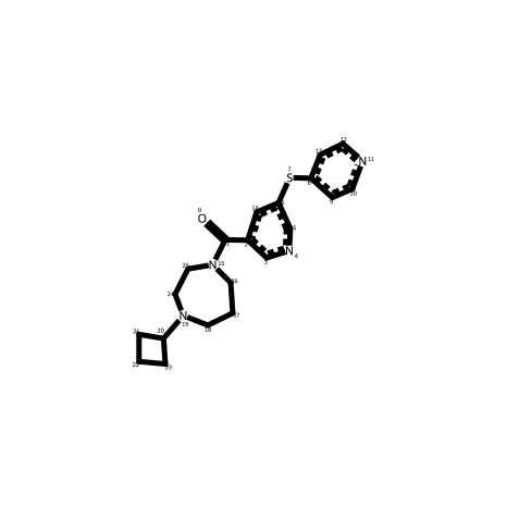 O=C(c1cncc(Sc2ccncc2)c1)N1CCCN(C2CCC2)CC1